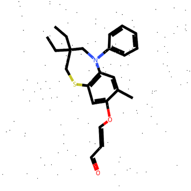 CCC1(CC)CSc2cc(O/C=C/C=O)c(C)cc2N(c2ccccc2)C1